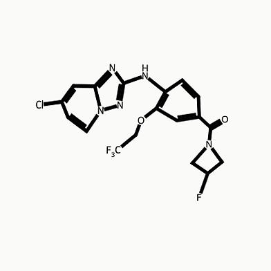 O=C(c1ccc(Nc2nc3cc(Cl)ccn3n2)c(OCC(F)(F)F)c1)N1CC(F)C1